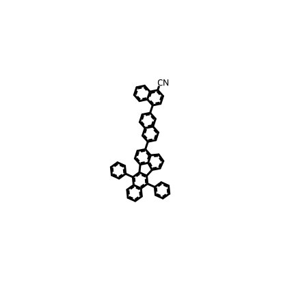 N#Cc1ccc(-c2ccc3cc(-c4ccc5c6c(cccc46)-c4c-5c(-c5ccccc5)c5ccccc5c4-c4ccccc4)ccc3c2)c2ccccc12